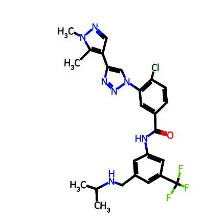 Cc1c(-c2cn(-c3cc(C(=O)Nc4cc(CNC(C)C)cc(C(F)(F)F)c4)ccc3Cl)nn2)cnn1C